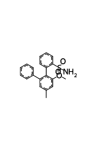 COc1cc(C)cc(-c2ccccc2)c1-c1ccccc1S(N)(=O)=O